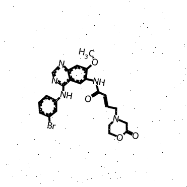 COc1cc2ncnc(Nc3cccc(Br)c3)c2cc1NC(=O)/C=C/CN1CCOC(=O)C1